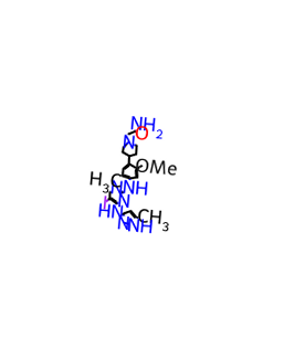 COc1cc(Nc2ncc(I)c(Nc3cc(C)[nH]n3)n2)c(C)cc1C1CCN(CC(N)=O)CC1